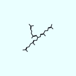 CC(C)=CCC/C(C)=C/CC(/C=C(\C)CCC=C(C)C)C/C=C(\C)CCC=C(C)C